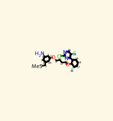 CSCc1cc(N)cc(OCCCCOc2c(F)cccc2-c2nc(Cl)ncc2F)c1